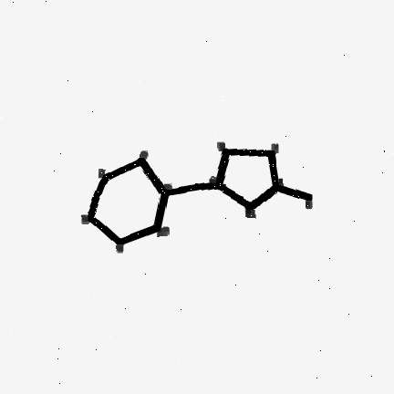 CC1CC[C](C2CCCCC2)C1